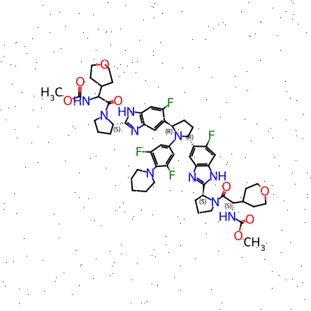 COC(=O)NC(C(=O)N1CCC[C@H]1c1nc2cc([C@H]3CC[C@H](c4cc5nc([C@@H]6CCCN6C(=O)[C@@H](NC(=O)OC)C6CCOCC6)[nH]c5cc4F)N3c3cc(F)c(N4CCCCC4)c(F)c3)c(F)cc2[nH]1)C1CCOCC1